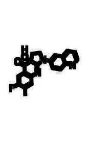 Cc1cc2c(cc1F)C(=O)C1(O)CCN(c3ccc4ncccc4c3)C1=N2